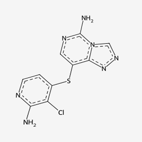 Nc1nccc(Sc2cnc(N)n3cnnc23)c1Cl